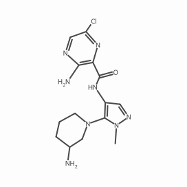 Cn1ncc(NC(=O)c2nc(Cl)cnc2N)c1N1CCCC(N)C1